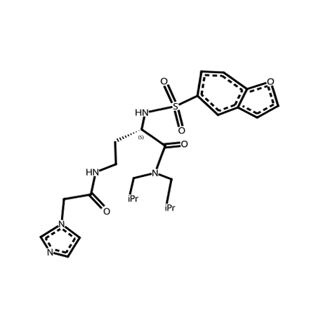 CC(C)CN(CC(C)C)C(=O)[C@H](CCNC(=O)Cn1ccnc1)NS(=O)(=O)c1ccc2occc2c1